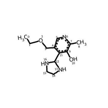 CCOCc1cnc(C)c(O)c1C1NCCN1